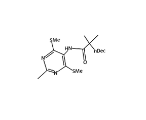 CCCCCCCCCCC(C)(C)C(=O)Nc1c(SC)nc(C)nc1SC